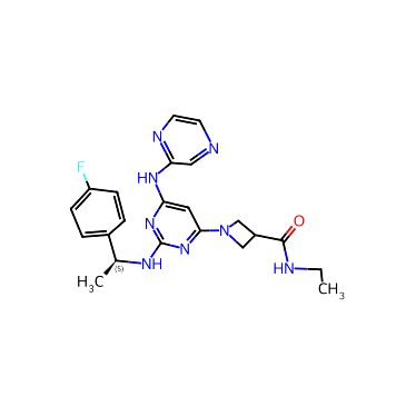 CCNC(=O)C1CN(c2cc(Nc3cnccn3)nc(N[C@@H](C)c3ccc(F)cc3)n2)C1